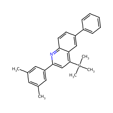 Cc1cc(C)cc(-c2cc([Si](C)(C)C)c3cc(-c4ccccc4)ccc3n2)c1